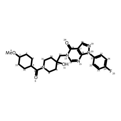 COC1CCC(C(=O)N2CCC(O)(Cn3cnc4c(cnn4-c4ccc(F)cc4)c3=O)CC2)CC1